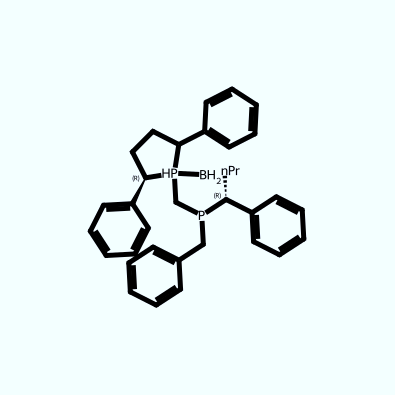 B[PH]1(CP(Cc2ccccc2)[C@H](CCC)c2ccccc2)C(c2ccccc2)CC[C@@H]1c1ccccc1